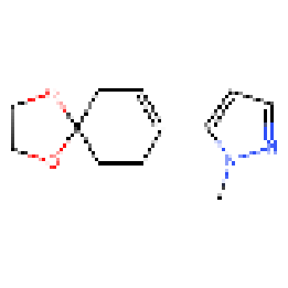 Cn1nccc1C1=CCC2(CC1)OCCO2